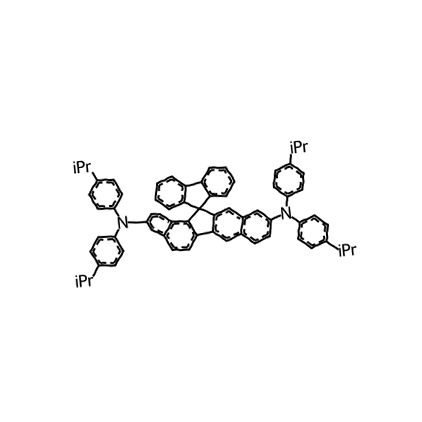 CC(C)c1ccc(N(c2ccc(C(C)C)cc2)c2ccc3cc4c(cc3c2)C2(c3ccccc3-c3ccccc32)c2c-4ccc3cc(N(c4ccc(C(C)C)cc4)c4ccc(C(C)C)cc4)ccc23)cc1